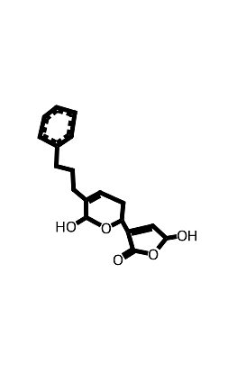 O=C1OC(O)C=C1C1CC=C(CCCc2ccccc2)C(O)O1